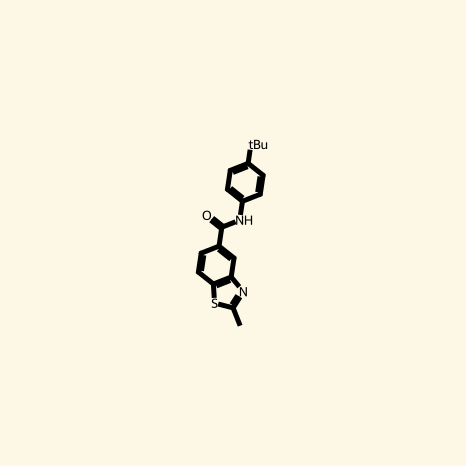 Cc1nc2cc(C(=O)Nc3ccc(C(C)(C)C)cc3)ccc2s1